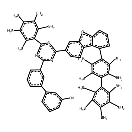 Bc1c(B)c(B)c(-c2nc(-c3cccc(-c4cccc(C#N)c4)c3)nc(-c3ccc4c(c3)oc3cccc(-c5c(B)c(B)c(-c6c(B)c(B)c(B)c(B)c6B)c(B)c5B)c34)n2)c(B)c1B